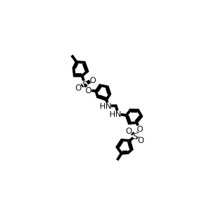 Cc1ccc(S(=O)(=O)Oc2cccc(NCNc3cccc(OS(=O)(=O)c4ccc(C)cc4)c3)c2)cc1